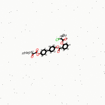 CCCCCCCC(=O)C(=O)Oc1ccc(-c2ccc(OC(=O)c3ccccc3OC(=O)[C@@H](Cl)[C@@H](C)CC)cc2)cc1